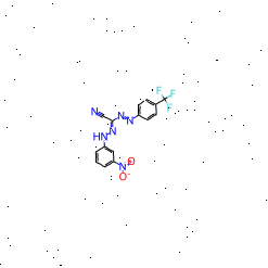 N#CC(N=Nc1ccc(C(F)(F)F)cc1)=NNc1cccc([N+](=O)[O-])c1